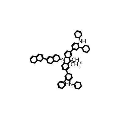 CC1(C)C2C=C(C3=CC(C4CCCCC4)C(NC4CC=CCC4)C=C3)C=CC2N(C2CC=C3C=C(C4=CC=C5C=CCCC5C4)CCC3C2)C2C=CC(C3C=C(C4=CC=CCC4)C(NC4=CCCCC4)=CC3)=CC21